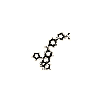 CN(C)[C@@H]1CCN(c2ccc(Nc3ncc4c(n3)N(C3CCCC3)C(=O)[C@]3(CCNC3=O)C4)cn2)C1